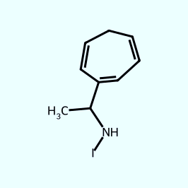 CC(NI)C1=CC=CCC=C1